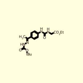 CCOC(=O)CNC(=O)Nc1ccc(C(C)=NNC(=O)OC(C)(C)C)cc1